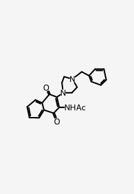 CC(=O)NC1=C(N2CCN(Cc3ccccc3)CC2)C(=O)c2ccccc2C1=O